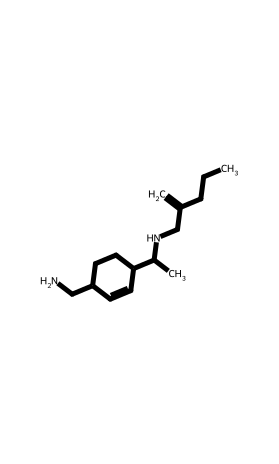 C=C(CCC)CNC(C)C1C=CC(CN)CC1